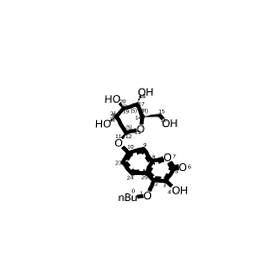 CCCCOc1c(O)c(=O)oc2cc(O[C@@H]3O[C@H](CO)[C@@H](O)[C@H](O)[C@H]3O)ccc12